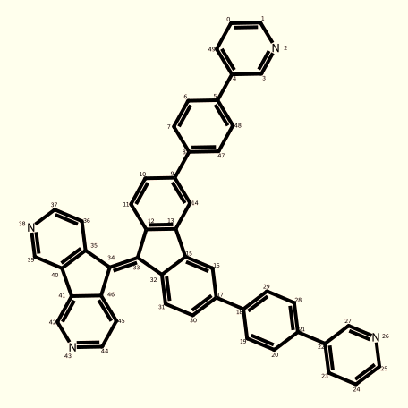 c1cncc(-c2ccc(-c3ccc4c(c3)-c3cc(-c5ccc(-c6cccnc6)cc5)ccc3C4=C3c4ccncc4-c4cnccc43)cc2)c1